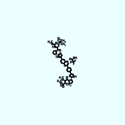 COC(=O)N[C@@H](COC(C)(C)C)C(=O)N1CCC[C@H]1c1ncc(-c2ccc3nc(-c4ccc(-c5c[nH]c([C@@H]6CCCN6C(=O)[C@H](C(C)C)N(C)C(=O)O)n5)cc4)cnc3c2)[nH]1.O=C(O)C(F)(F)F